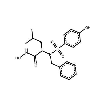 CC(C)C[C@H](C(=O)NO)N(Cc1cccnc1)S(=O)(=O)c1ccc(O)cc1